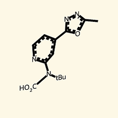 Cc1nnc(-c2ccnc(N(C(=O)O)C(C)(C)C)c2)o1